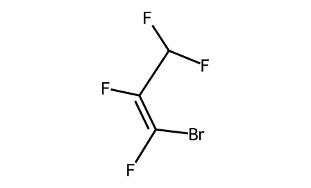 FC(Br)=C(F)C(F)F